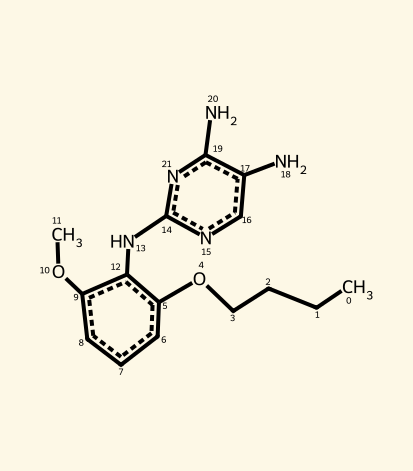 CCCCOc1cccc(OC)c1Nc1ncc(N)c(N)n1